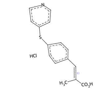 C/C(=C\c1ccc(Sc2ccncc2)cc1)C(=O)O.Cl